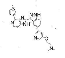 CN(C)CCOc1cncc(-c2ccc3[nH]nc(-c4nc5c(-c6ccsc6)nccc5[nH]4)c3c2)c1